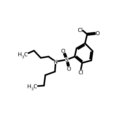 CCCCN(CCCC)S(=O)(=O)c1cc(C(=O)Cl)ccc1Cl